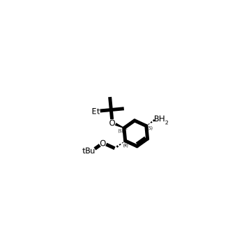 B[C@@H]1C=C[C@H](COC(C)(C)C)[C@@H](OC(C)(C)CC)C1